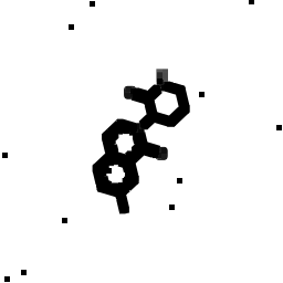 Cc1ccc2ccn(C3CCCNC3=O)c(=O)c2c1